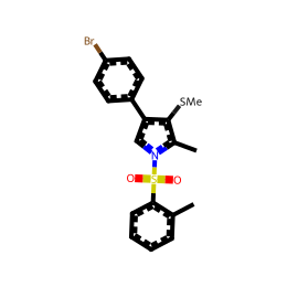 CSc1c(-c2ccc(Br)cc2)cn(S(=O)(=O)c2ccccc2C)c1C